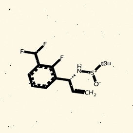 C=C[C@@H](N[S+]([O-])C(C)(C)C)c1cccc(C(F)F)c1F